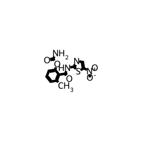 Cc1cccc(OC(N)=O)c1C(=O)Nc1ncc([N+](=O)[O-])s1